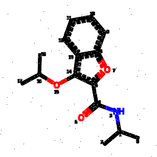 CC(C)NC(=O)c1oc2ccccc2c1OC(C)C